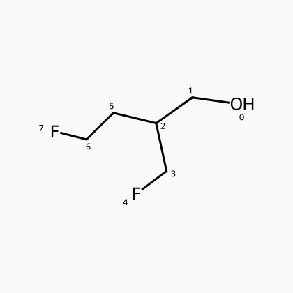 OCC(CF)CCF